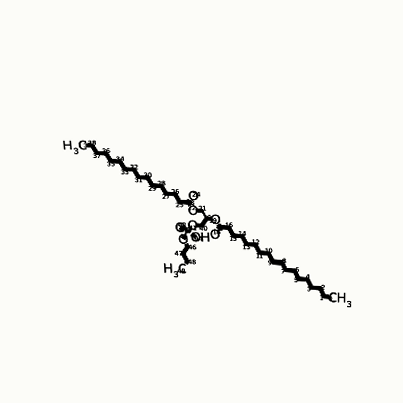 CCCCCCCCC=CCCCCCCCC(=O)O[C@H](COC(=O)CCCCCCCCCCCCCCC)COP(=O)(O)OCCCC